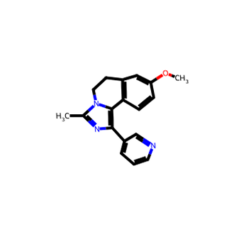 COc1ccc2c(c1)CCn1c(C)nc(-c3cccnc3)c1-2